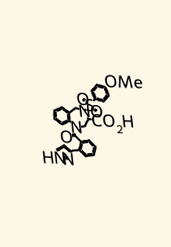 COc1ccc(S(=O)(=O)N2Cc3ccccc3N(C(=O)c3ccccc3-c3cc[nH]n3)CC2C(=O)O)cc1